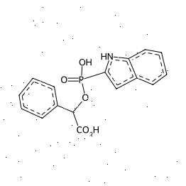 O=C(O)C(OP(=O)(O)c1cc2ccccc2[nH]1)c1ccccc1